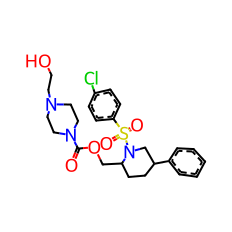 O=C(OCC1CCC(c2ccccc2)CN1S(=O)(=O)c1ccc(Cl)cc1)N1CCN(CCO)CC1